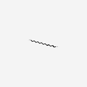 [CH2]C=CCC=CCCCCCCCC[CH2]